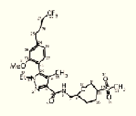 CCn1nc(C(=O)NCC2CCC(S(C)(=O)=O)CC2)c(C)c1-c1ccc(CCCC(F)(F)F)cc1OC